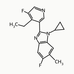 CCc1c(F)cncc1-c1nc2cc(F)c(C)cc2n1C1CC1